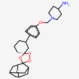 NC1CCN(COc2ccc(C3CCC[C@]4(C3)OOC3(O4)C4CC5CC(C4)CC3C5)cc2)CC1